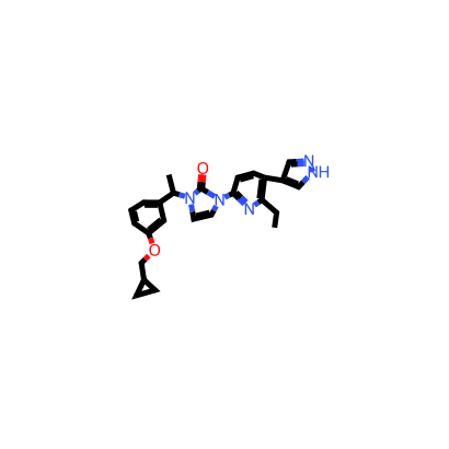 CCc1nc(-n2ccn(C(C)c3cccc(OCC4CC4)c3)c2=O)ccc1-c1cn[nH]c1